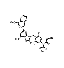 COC(=O)c1ccccc1COc1cc(C)c2nc(C)n(Cc3ccc(N(C(=O)OC(C)(C)C)C(=O)OC(C)(C)C)cc3Cl)c2c1